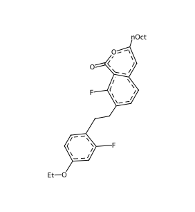 CCCCCCCCc1cc2ccc(CCc3ccc(OCC)cc3F)c(F)c2c(=O)o1